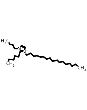 CCCCCCCCCCCCCCCCC[n+]1ccn(CCCC)c1CCCCC